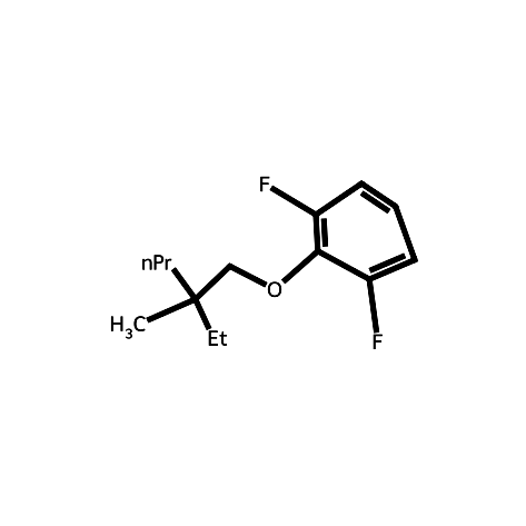 CCCC(C)(CC)COc1c(F)cccc1F